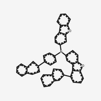 c1ccc2cc(-c3ccc(N(c4ccc5c(c4)oc4ccccc45)c4ccc5oc6cccc(-c7ccc8ccccc8c7)c6c5c4)cc3)ccc2c1